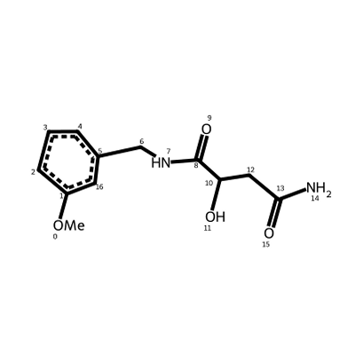 COc1cccc(CNC(=O)C(O)CC(N)=O)c1